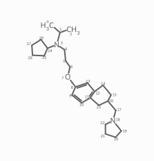 CC(C)N(CCCOc1ccc2c(c1)CCC(CN1CCCC1)C2)C1CCCC1